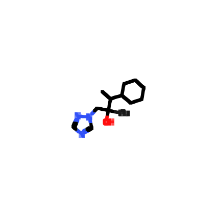 CC(C1CCCCC1)C(O)(Cn1cncn1)C(C)(C)C